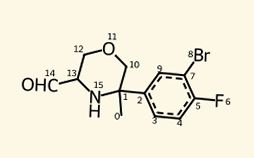 CC1(c2ccc(F)c(Br)c2)COCC(C=O)N1